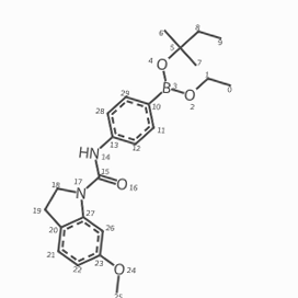 CCOB(OC(C)(C)CC)c1ccc(NC(=O)N2CCc3ccc(OC)cc32)cc1